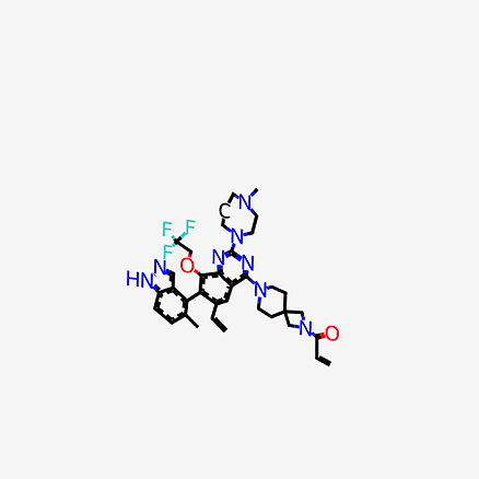 C=CC(=O)N1CC2(CCN(c3nc(N4CCCN(C)CC4)nc4c(OCC(F)(F)F)c(-c5c(C)ccc6[nH]ncc56)c(C=C)cc34)CC2)C1